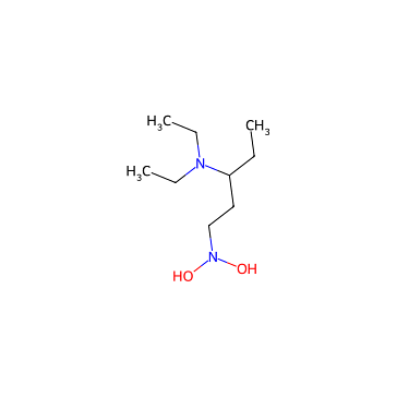 CCC(CCN(O)O)N(CC)CC